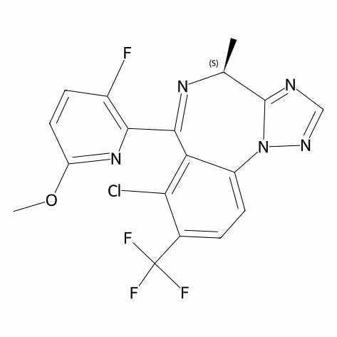 COc1ccc(F)c(C2=N[C@@H](C)c3ncnn3-c3ccc(C(F)(F)F)c(Cl)c32)n1